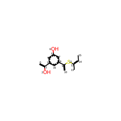 C=C(O)c1cc(O)cc(C(=C)S/C(C)=C\C)c1